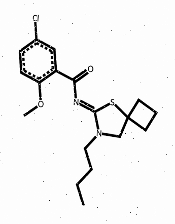 CCCCN1CC2(CCC2)SC1=NC(=O)c1cc(Cl)ccc1OC